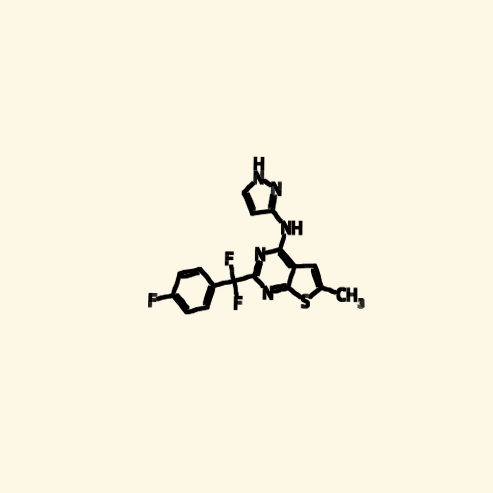 Cc1cc2c(Nc3cc[nH]n3)nc(C(F)(F)c3ccc(F)cc3)nc2s1